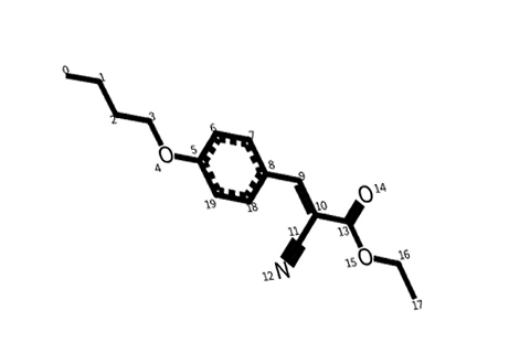 CCCCOc1ccc(/C=C(\C#N)C(=O)OCC)cc1